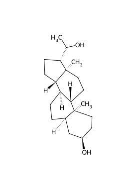 CC(O)[C@H]1CC[C@H]2[C@@H]3CC[C@@H]4C[C@H](O)CC[C@]4(C)[C@H]3CC[C@]12C